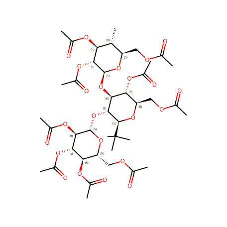 CC(=O)OC[C@H]1O[C@@H](O[C@@H]2[C@@H](O[C@@H]3O[C@H](COC(C)=O)[C@@H](OC(C)=O)[C@H](OC(C)=O)[C@H]3OC(C)=O)[C@H](C(C)(C)C)O[C@H](COC(C)=O)[C@H]2OC(C)=O)[C@H](OC(C)=O)[C@@H](OC(C)=O)[C@@H]1C